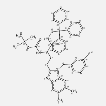 Cc1cc2nc(CCC(NC(=O)OC(C)(C)C)C(=O)NOC(c3ccccc3)(c3ccccc3)c3ccccc3)n(Cc3cccc(F)c3)c2cc1C